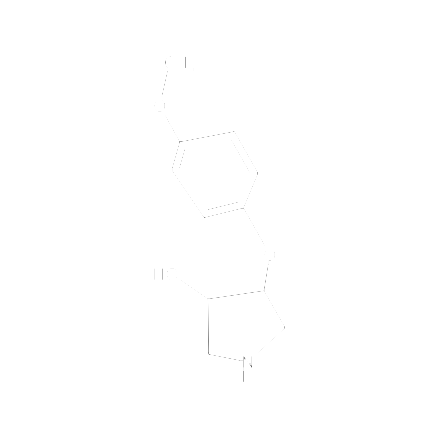 COc1ccc(OC2CNCC2O)cc1